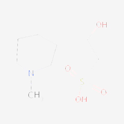 CN1CCCCC1.O=S(=O)(O)CCO